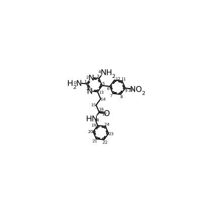 Nc1nc(N)c(-c2ccc([N+](=O)[O-])cc2)c(CCC(=O)Nc2ccccc2)n1